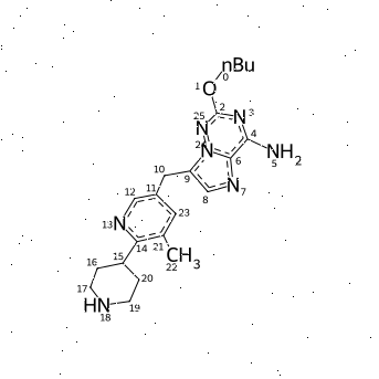 CCCCOc1nc(N)c2ncc(Cc3cnc(C4CCNCC4)c(C)c3)n2n1